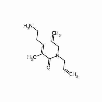 C=CCN(CC=C)C(=O)C(C)=CCCN